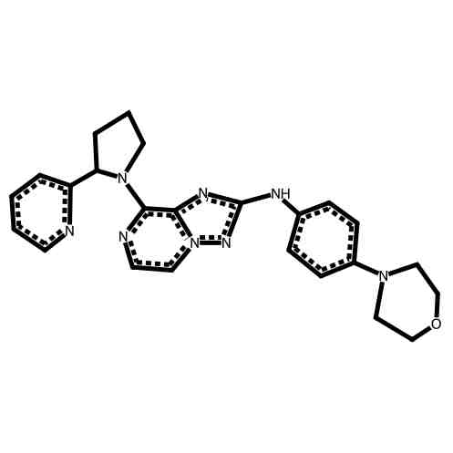 c1ccc(C2CCCN2c2nccn3nc(Nc4ccc(N5CCOCC5)cc4)nc23)nc1